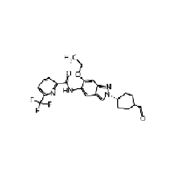 CCOc1cc2nn([C@H]3CC[C@H](C=O)CC3)cc2cc1NC(=O)c1cccc(C(F)(F)F)n1